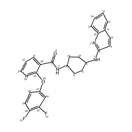 O=C(NC1CCC(Nc2ccc3ccccc3n2)CC1)c1cccnc1Oc1ccc(F)c(F)c1